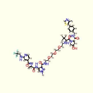 Cc1ncsc1-c1ccc(CNC(=O)[C@@H]2C[C@@H](O)CN2C(=O)[C@@H](NCCOCCOCCOCCNC(=O)c2nn(C)cc2NC(=O)c2coc(-c3ccnc(NCC(F)(F)F)c3)n2)C(C)(C)C)cc1